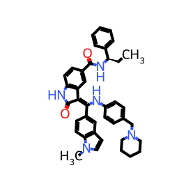 CC[C@@H](NC(=O)c1ccc2c(c1)C(=C(Nc1ccc(CN3CCCCC3)cc1)c1ccc3c(ccn3C)c1)C(=O)N2)c1ccccc1